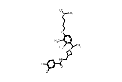 Cc1c(OCCCCN(C)C)ccc(C(C)N2CC(CNC(=O)c3ccc(Cl)c(Cl)c3)C2)c1C